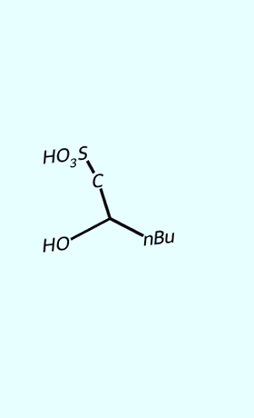 CCCCC(O)CS(=O)(=O)O